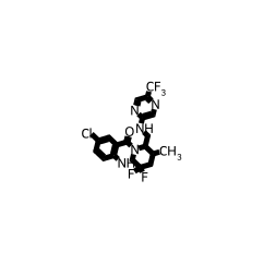 CC1CC(F)(F)CN(C(=O)c2cc(Cl)ccc2N)C1CNc1cnc(C(F)(F)F)cn1